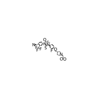 COC(=O)CN1CCC(COc2ccc(N3C(=S)N(c4ccc(C#N)c(C(F)(F)F)c4)C(=O)C3(C)C)cc2F)CC1